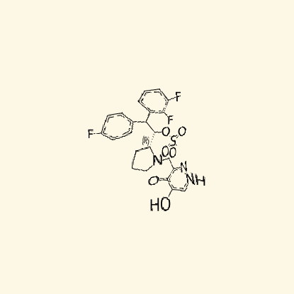 CS(=O)(=O)OC(C(c1ccc(F)cc1)c1cccc(F)c1F)[C@H]1CCCN1C(=O)c1n[nH]cc(O)c1=O